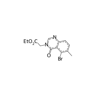 CCOC(=O)Cn1cnc2ccc(C)c(Br)c2c1=O